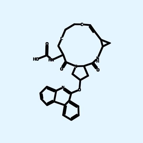 O=C(O)NC1CCCCCC=CC2CC2NC(=O)C2CC(Oc3nc4ccccc4c4ccccc34)CN2C1=O